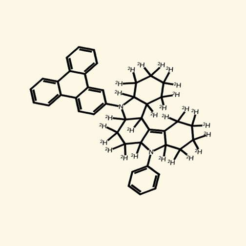 [2H]C1([2H])C2=C3C([2H])(N(c4ccccc4)C2([2H])C([2H])([2H])C([2H])([2H])C1([2H])[2H])C([2H])([2H])C([2H])([2H])C1([2H])N(c2ccc4c5ccccc5c5ccccc5c4c2)C2([2H])C([2H])([2H])C([2H])([2H])C([2H])([2H])C([2H])([2H])C2([2H])C31[2H]